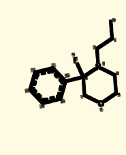 CCCN1CCOCC1(F)c1ccccc1